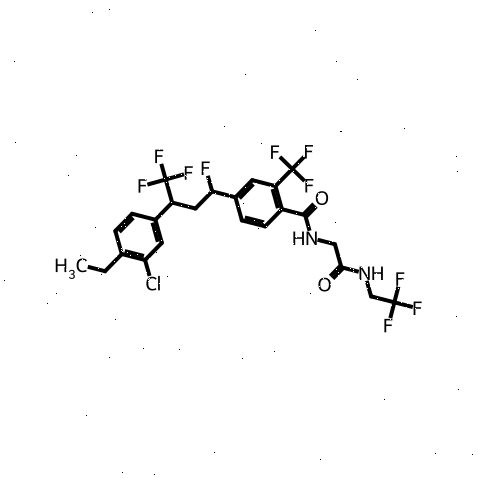 CCc1ccc(C(CC(F)c2ccc(C(=O)NCC(=O)NCC(F)(F)F)c(C(F)(F)F)c2)C(F)(F)F)cc1Cl